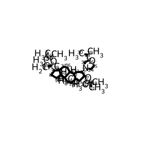 C=C(O[Si](C)(C)C)[C@H]1CC[C@H]2[C@@H]3CC[C@H]4C[C@H](O[Si](C)(C)C)[C@@H](N5CCO[C@H](C(C)C)C5)C[C@]4(C)[C@H]3CC[C@]12C